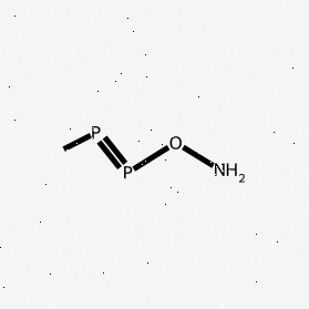 CP=PON